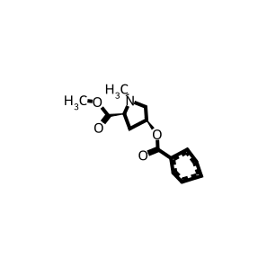 COC(=O)[C@@H]1C[C@H](OC(=O)c2ccccc2)CN1C